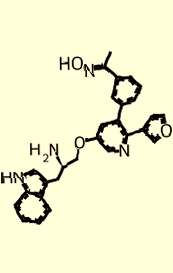 CC(=NO)c1cccc(-c2cc(OC[C@H](N)Cc3c[nH]c4ccccc34)cnc2-c2ccoc2)c1